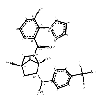 CN(c1ccc(C(F)(F)F)cn1)[C@@H]1C[C@H]2C[C@@H]1N(C(=O)c1cccc(F)c1-n1nccn1)C2